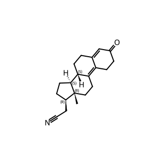 C[C@]12CCC3=C4CCC(=O)C=C4CC[C@H]3[C@@H]1CC[C@@H]2CC#N